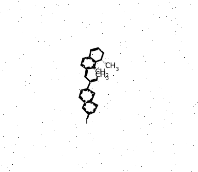 C=c1c2c(cc/c1=C/C(=C\C)c1ccc3cc(I)ccc3c1)C=CC[C@@H]2C